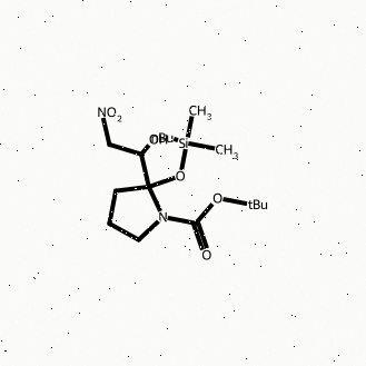 CCCC[Si](C)(C)OC1(C(O)C[N+](=O)[O-])CCCN1C(=O)OC(C)(C)C